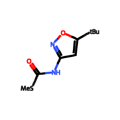 CSC(=O)Nc1cc(C(C)(C)C)on1